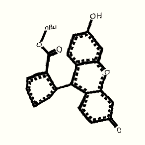 [CH2]CCCOC(=O)c1ccccc1-c1c2ccc(=O)cc-2oc2cc(O)ccc12